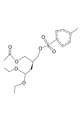 CCOC(C[C@@H](COC(C)=O)COS(=O)(=O)c1ccc(C)cc1)OCC